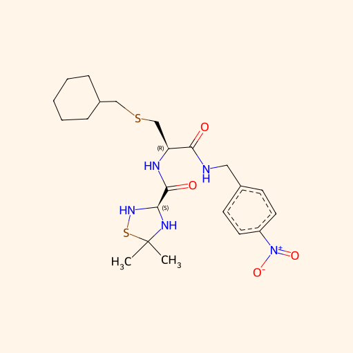 CC1(C)N[C@H](C(=O)N[C@@H](CSCC2CCCCC2)C(=O)NCc2ccc([N+](=O)[O-])cc2)NS1